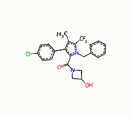 Cc1c(-c2ccc(Cl)cc2)c(C(=O)N2CC(O)C2)n(Cc2ccccc2)c1C(F)(F)F